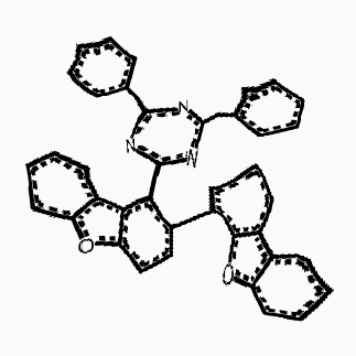 c1ccc(-c2nc(-c3ccccc3)nc(-c3c(-c4cccc5c4oc4ccccc45)ccc4oc5ccccc5c34)n2)cc1